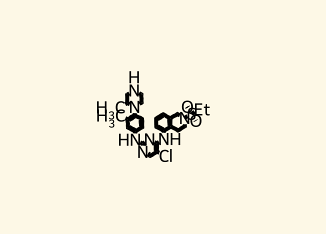 CCS(=O)(=O)N1CCc2c(cccc2Nc2nc(Nc3ccc(N4CCNCC4C)c(C)c3)ncc2Cl)C1